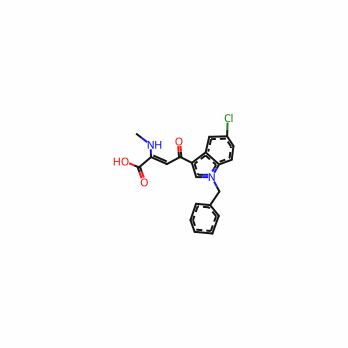 CN/C(=C\C(=O)c1cn(Cc2ccccc2)c2ccc(Cl)cc12)C(=O)O